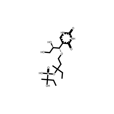 CCC(C)(CCO[C@@H](c1c[nH]c(=O)[nH]c1=O)[C@H](O)CO)OP(=O)(O)C(C)(O)CC